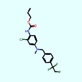 CCCOC(=O)Nc1ccc(N(C)Cc2ccc(C(F)(F)CF)cc2)cc1Cl